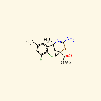 COC(=O)[C@]12CC1[C@@](C)(c1cc([N+](=O)[O-])cc(F)c1F)N=C(N)S2